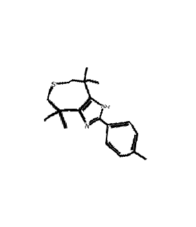 Cc1ccc(-c2nc3c([nH]2)C(C)(C)CSCC3(C)C)cc1